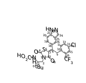 CC(C)(C)C(CN1C(=O)S/C(=C(/Cc2ccc(Cl)cc2C(F)(F)F)c2ccc3[nH]ncc3c2)C1=O)NC(=O)O